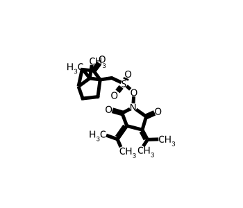 CC(C)=C1C(=O)N(OS(=O)(=O)CC23CCC(CC2=O)C3(C)C)C(=O)C1=C(C)C